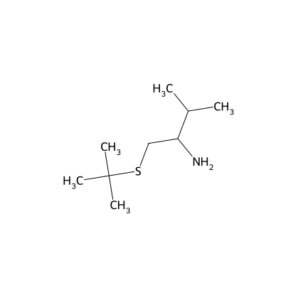 CC(C)C(N)CSC(C)(C)C